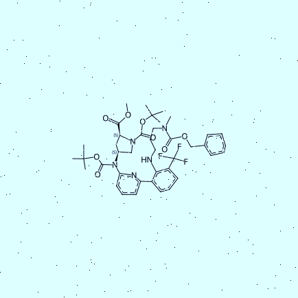 COC(=O)[C@@H]1C[C@H](N(C(=O)OC(C)(C)C)c2cccc(-c3cccc(C(F)(F)F)c3NCCCN(C)C(=O)OCc3ccccc3)n2)CN1C(=O)OC(C)(C)C